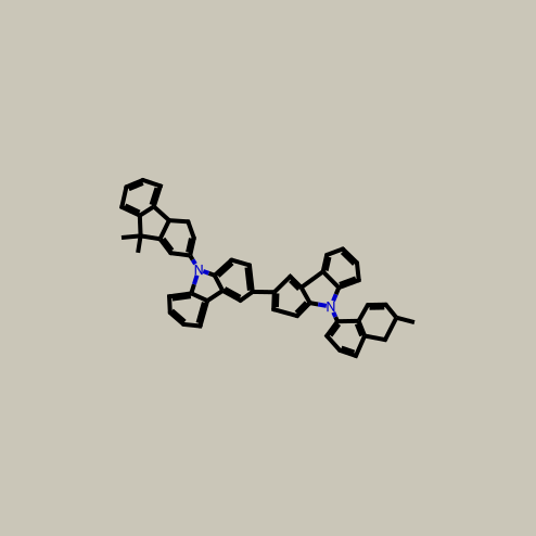 CC1C=Cc2c(cccc2-n2c3ccccc3c3cc(-c4ccc5c(c4)c4ccccc4n5C4=CCC5C(=C4)C(C)(C)c4ccccc45)ccc32)C1